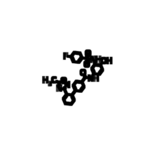 Cc1nc(-c2ccccc2-c2ccc(C(=O)Nc3ccc(O)c(NS(=O)(=O)c4ccc(F)cc4)c3)cc2)no1